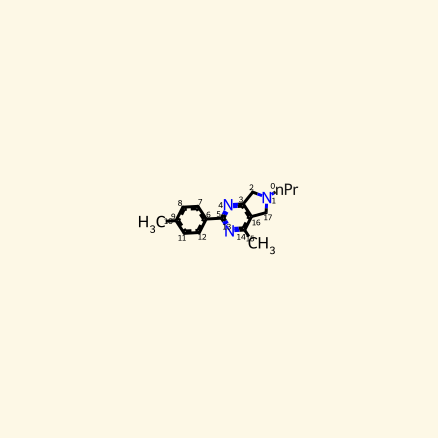 CCCN1Cc2nc(-c3ccc(C)cc3)nc(C)c2C1